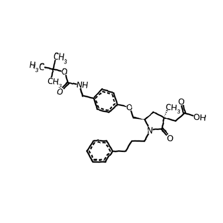 CC(C)(C)OC(=O)NCc1ccc(OC[C@H]2C[C@@](C)(CC(=O)O)C(=O)N2CCCc2ccccc2)cc1